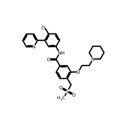 CS(=O)(=O)Cc1ccc(C(=O)Nc2ccc(Cl)c(-c3ccccn3)c2)cc1OCCN1CCCCC1